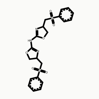 O=S(=O)(CC1COC(NC2=NC(CS(=O)(=O)c3ccccc3)CO2)=N1)c1ccccc1